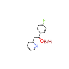 Br.O=C(Cc1ccccn1)c1ccc(F)cc1